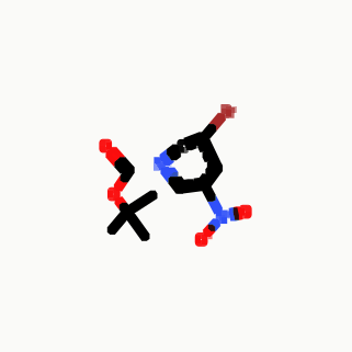 CC(C)(C)OC=O.O=[N+]([O-])c1cncc(Br)c1